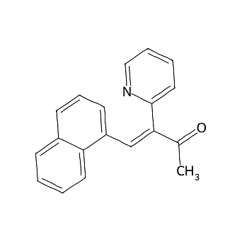 CC(=O)/C(=C/c1cccc2ccccc12)c1ccccn1